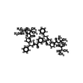 CN[C@@H](C)C(=O)N[C@H](C(=O)N1CCC[C@H]1CN(CCc1ccccc1)C(=O)c1cccc(C(=O)N(CCc2ccccc2)C[C@@H]2CCCN2C(=O)[C@@H](NC(=O)[C@H](C)NC)C(C)(C)C)c1)C(C)(C)C